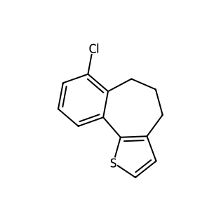 Clc1cccc2c1CCCc1ccsc1-2